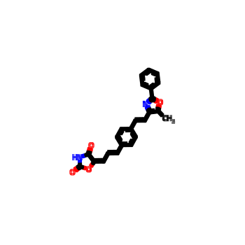 Cc1oc(-c2ccccc2)nc1C=Cc1ccc(/C=C/C=C2/OC(=O)NC2=O)cc1